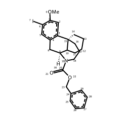 COc1cc2c(cc1I)C[C@H]1C3CCCC[C@@]23CCCN1C(=O)OCc1ccccc1